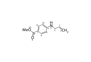 C=CCNc1ccc(C(=O)OC)cc1